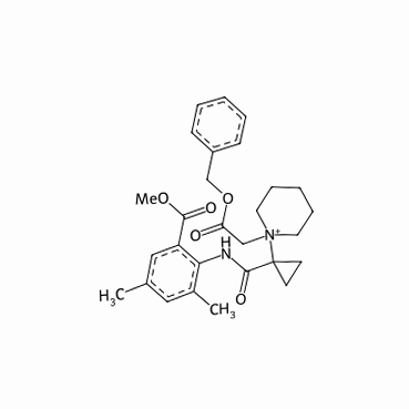 COC(=O)c1cc(C)cc(C)c1NC(=O)C1([N+]2(CC(=O)OCc3ccccc3)CCCCC2)CC1